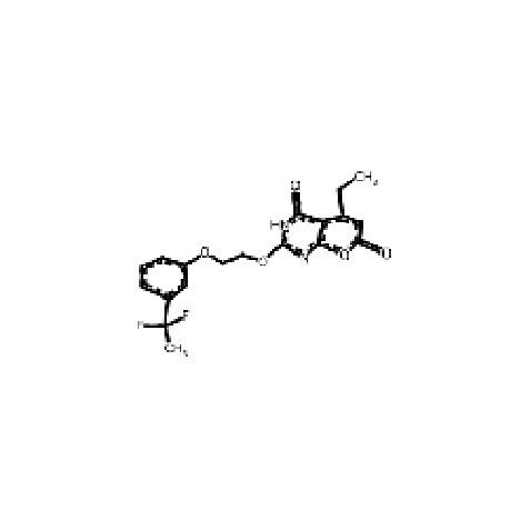 CCc1cc(=O)oc2nc(OCCOc3cccc(C(C)(F)F)c3)[nH]c(=O)c12